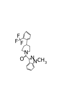 Cn1nc(C(=O)N2CCC(c3ccccc3C(F)(F)F)CC2)c2ccccc21